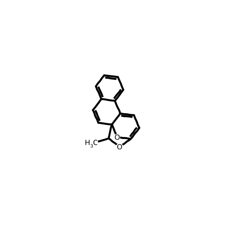 CC1OC2=CC=C3c4ccccc4C=CC31O2